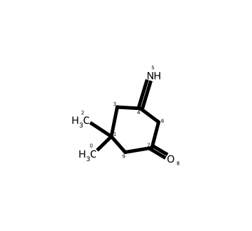 CC1(C)CC(=N)CC(=O)C1